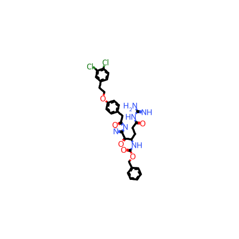 N=C(N)NC(=O)CCC(NC(=O)OCc1ccccc1)C(=O)c1noc(Cc2ccc(OCCc3ccc(Cl)c(Cl)c3)cc2)n1